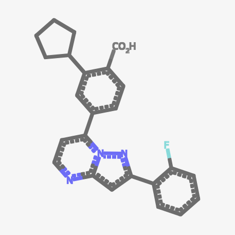 O=C(O)c1ccc(-c2ccnc3cc(-c4ccccc4F)nn23)cc1C1CCCC1